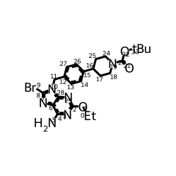 CCOc1nc(N)c2nc(Br)n(Cc3ccc(C4CCN(C(=O)OC(C)(C)C)CC4)cc3)c2n1